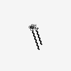 CCCCCCCCCCCCCOS(=O)(=O)O.CCCCCCCCCCN(C)C